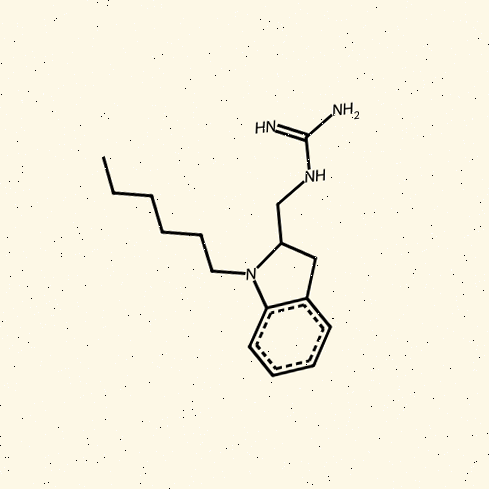 CCCCCCN1c2ccccc2CC1CNC(=N)N